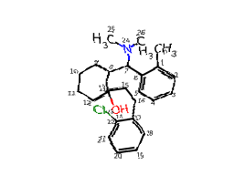 Cc1ccccc1C(C1CCCCC1(O)CCc1ccccc1Cl)N(C)C